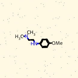 COc1ccc(NCCN(C)C)cc1